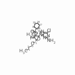 CCCCOC[C@H]1O[C@@H](n2cnc3c(Cl)nc(N)nc32)[C@](C)(OC(=O)c2ccccc2)[C@@H]1F